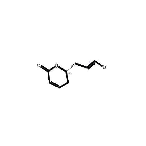 CC/C=C/C[C@@H]1CC=CC(=O)O1